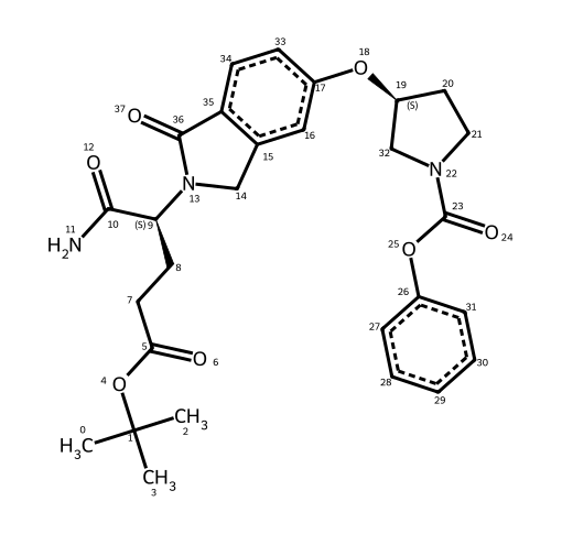 CC(C)(C)OC(=O)CC[C@@H](C(N)=O)N1Cc2cc(O[C@H]3CCN(C(=O)Oc4ccccc4)C3)ccc2C1=O